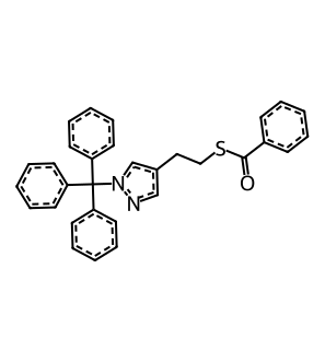 O=C(SCCc1cnn(C(c2ccccc2)(c2ccccc2)c2ccccc2)c1)c1ccccc1